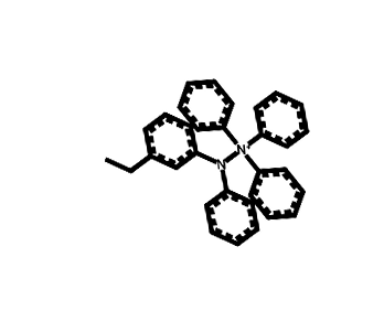 CCc1cccc(N(c2ccccc2)[N+](c2ccccc2)(c2ccccc2)c2ccccc2)c1